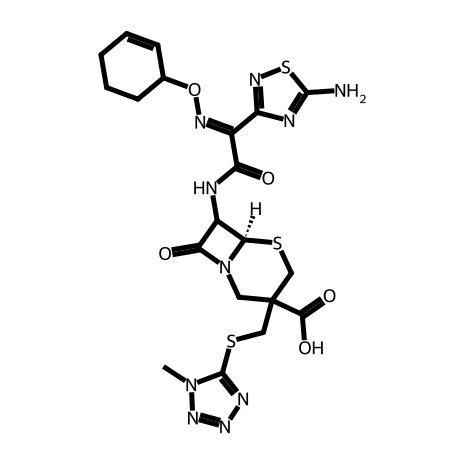 Cn1nnnc1SCC1(C(=O)O)CS[C@@H]2C(NC(=O)C(=NOC3C=CCCC3)c3nsc(N)n3)C(=O)N2C1